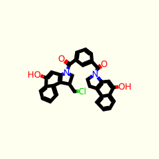 O=C(c1cccc(C(=O)N2CC(CCl)c3c2cc(O)c2ccccc32)c1)N1CCc2c1cc(O)c1ccccc21